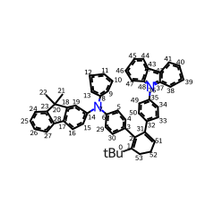 CC(C)(C)C1=C(c2ccc(N(c3ccccc3)c3ccc4c(c3)C(C)(C)c3ccccc3-4)cc2)C(c2ccc(-n3c4ccccc4c4ccccc43)cc2)=CCC1